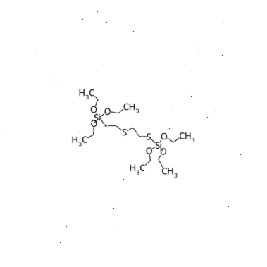 CCO[Si](CCSCCS[Si](OCC)(OCC)OCC)(OCC)OCC